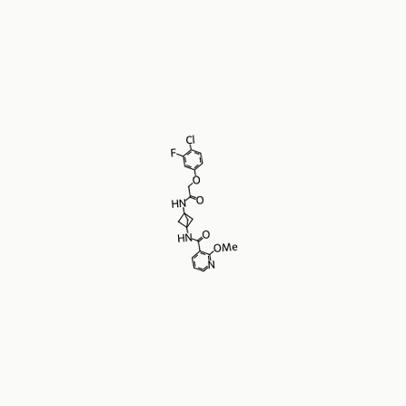 COc1ncccc1C(=O)NC12CC(NC(=O)COc3ccc(Cl)c(F)c3)(C1)C2